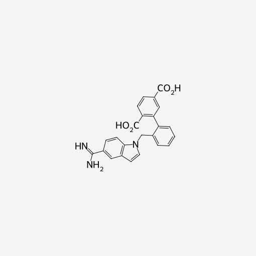 N=C(N)c1ccc2c(ccn2Cc2ccccc2-c2cc(C(=O)O)ccc2C(=O)O)c1